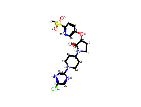 CS(=O)(=O)c1ccc(OC2CCN(C3CCN(c4cnc(Cl)cn4)CC3)C2=O)cn1